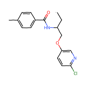 [CH2]CC(COc1ccc(Cl)nc1)NC(=O)c1ccc(C)cc1